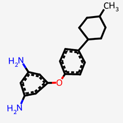 CC1CCC(c2ccc(Oc3cc(N)cc(N)c3)cc2)CC1